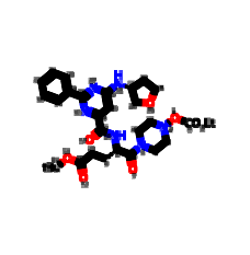 CCOC(=O)ON1CCN(C(=O)[C@H](CCC(=O)OC(C)(C)C)NC(=O)c2cc(N[C@@H]3CCOC3)nc(-c3ccccc3)n2)CC1